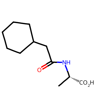 C[C@H](NC(=O)CC1CCCCC1)C(=O)O